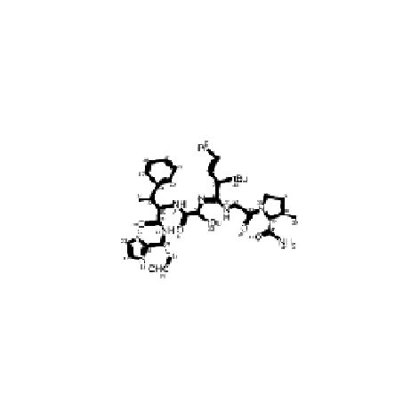 CC(C)/C=C/C(/C(=N/C(C(=O)NC(C(=O)N[C@H](CC=O)c1nccs1)[C@@H](C)c1ccccc1)C(C)(C)C)NCC(=O)N1CC[C@@H](C)[C@H]1C(N)=O)C(C)(C)C